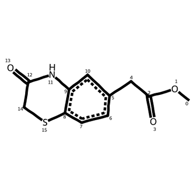 COC(=O)Cc1ccc2c(c1)NC(=O)CS2